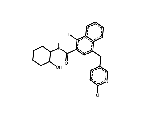 O=C(NC1CCCCC1O)c1cc(Cc2ccc(Cl)nc2)c2ccccc2c1F